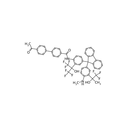 CNc1ccc(C2(c3ccc(NC(=O)c4ccc(-c5ccc(C(C)=O)cc5)cc4)c(C(O)(C(F)(F)F)C(F)(F)F)c3)c3ccccc3-c3ccccc32)cc1C(C)(O)C(F)(F)F